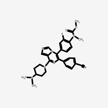 COC(=O)N(C)c1ccc(-c2c(-c3ccc(C#N)cc3)nc(N3CCC(N(C)C)CC3)c3cncn23)cc1F